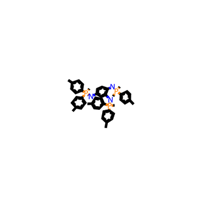 Cc1ccc(P(C)(C)=Nc2ccc(N=P(C)(c3ccc(C)cc3)c3ccc(C)cc3)cc2N=P(C)(c2ccc(C)cc2)c2ccc(C)cc2)cc1